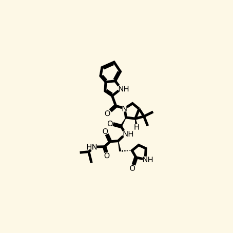 CC(C)NC(=O)C(=O)[C@H](C[C@@H]1CCNC1=O)NC(=O)[C@@H]1[C@@H]2C(CN1C(=O)c1cc3ccccc3[nH]1)C2(C)C